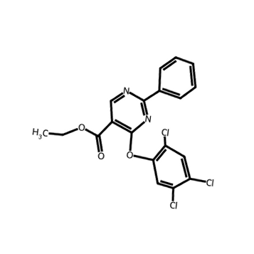 CCOC(=O)c1cnc(-c2ccccc2)nc1Oc1cc(Cl)c(Cl)cc1Cl